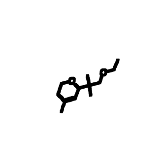 CCOCC(C)(C)C1C=C(C)CCO1